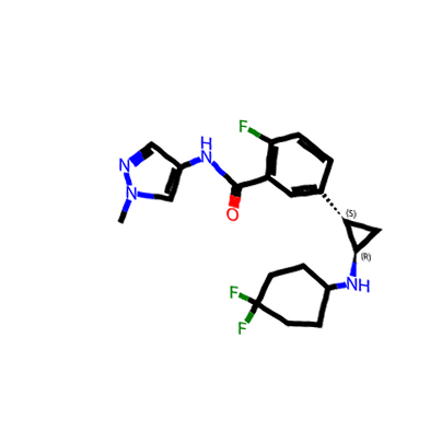 Cn1cc(NC(=O)c2cc([C@@H]3C[C@H]3NC3CCC(F)(F)CC3)ccc2F)cn1